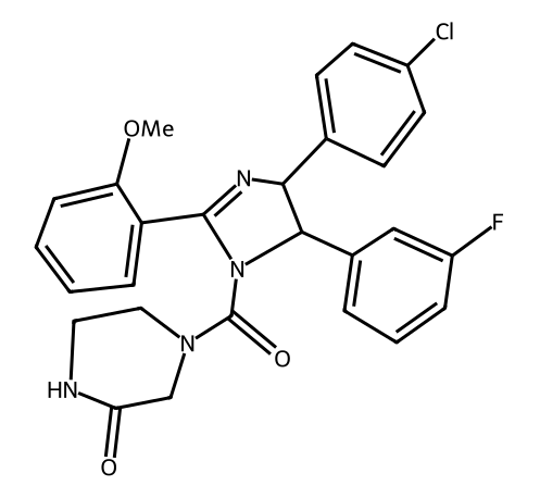 COc1ccccc1C1=NC(c2ccc(Cl)cc2)C(c2cccc(F)c2)N1C(=O)N1CCNC(=O)C1